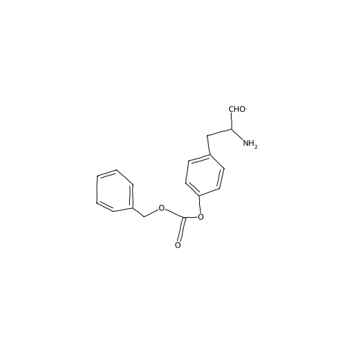 NC([C]=O)Cc1ccc(OC(=O)OCc2ccccc2)cc1